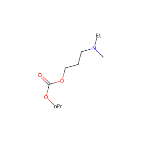 CCCOC(=O)OCCCN(C)CC